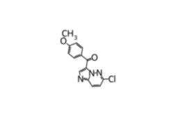 COc1ccc(C(=O)c2cnc3ccc(Cl)nn23)cc1